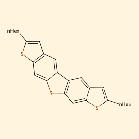 CCCCCCc1cc2cc3c(cc2s1)sc1cc2sc(CCCCCC)cc2cc13